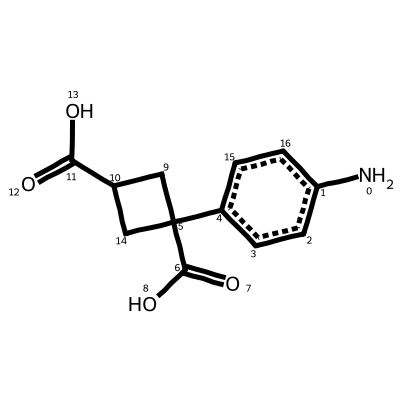 Nc1ccc(C2(C(=O)O)CC(C(=O)O)C2)cc1